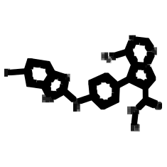 CCNC(=O)c1cn2ncnc(N)c2c1-c1ccc(Nc2nc3ccc(F)cc3[nH]2)cc1